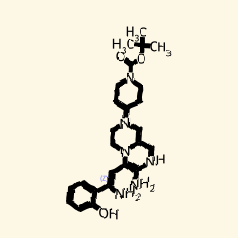 CC(C)(C)OC(=O)N1CCC(N2CCN3C(/C=C(\N)c4ccccc4O)=C(N)NCC3C2)CC1